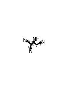 N#CCC(=N)C(C#N)C#N